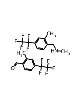 CNCc1ccc(C(F)(F)C(F)(F)F)cc1C.Cc1cc(C(F)(F)C(F)(F)F)ccc1C=O